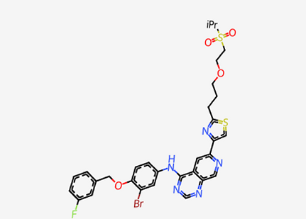 CC(C)S(=O)(=O)CCOCCCc1nc(-c2cc3c(Nc4ccc(OCc5cccc(F)c5)c(Br)c4)ncnc3cn2)cs1